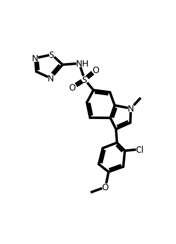 COc1ccc(-c2cn(C)c3cc(S(=O)(=O)Nc4ncns4)ccc23)c(Cl)c1